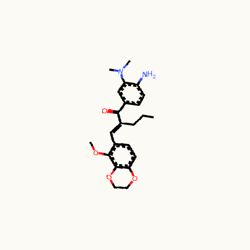 CCC/C(=C\c1ccc2c(c1OC)OCCO2)C(=O)c1ccc(N)c(N(C)C)c1